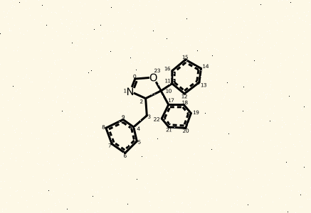 C1=NC(Cc2ccccc2)C(c2ccccc2)(c2ccccc2)O1